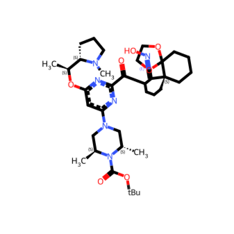 C[C@H](Oc1cc(N2C[C@H](C)N(C(=O)OC(C)(C)C)[C@@H](C)C2)nc(C(=O)C2CCC[C@@]3(CCCCC34OCCO4)/C2=N/O)n1)[C@@H]1CCCN1C